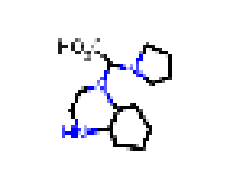 O=C(O)C(N1CCCC1)N1CCNC2CCCCC21